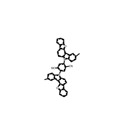 Cc1ccc2c(c1)c1c3oc4ccccc4c3ccc1n2-c1cc(C#N)c(-n2c3ccc(C)cc3c3c4oc5ccccc5c4ccc32)cc1C#N